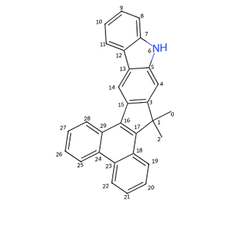 CC1(C)c2cc3[nH]c4ccccc4c3cc2-c2c1c1ccccc1c1ccccc21